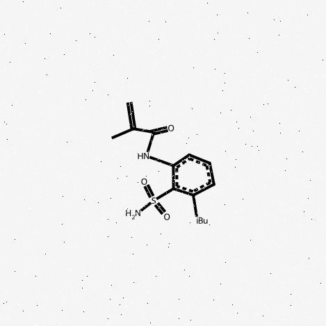 C=C(C)C(=O)Nc1cccc(C(C)CC)c1S(N)(=O)=O